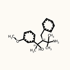 COc1cccc([C@@](C)(O)[C@@H](Cc2ccccc2)C(C)(C)N)c1